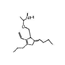 C=CC1=C(CCC)C/C(=C\CCC)C1COC(C)NC